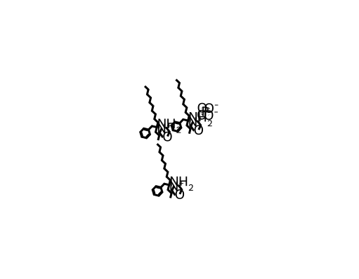 CCCCCCCCCCC(CCC)(Cc1ccccc1)[N+]1(N)CCOCC1.CCCCCCCCCCC(CCC)(Cc1ccccc1)[N+]1(N)CCOCC1.CCCCCCCCCCC(CCC)(Cc1ccccc1)[N+]1(N)CCOCC1.O=P([O-])([O-])[O-]